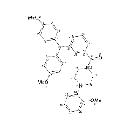 COc1ccc(C(c2ccc(OC)cc2)c2cc(C(=O)N3CCN(c4ccccc4OC)CC3)ccn2)cc1